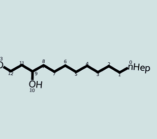 CCCCCCCCCCCCCC[CH]C(O)CCO